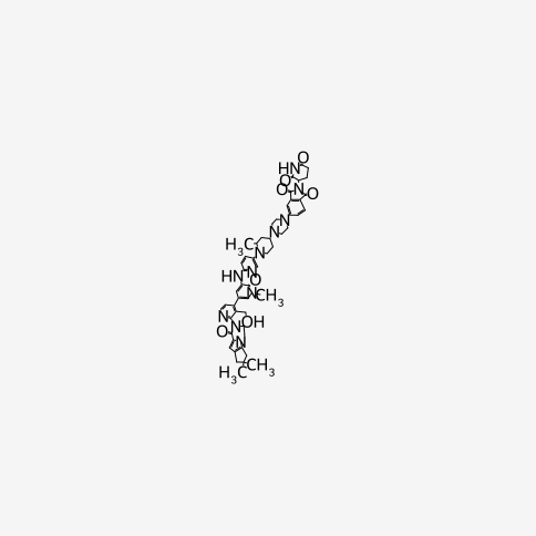 C[C@H]1CC(N2CCN(c3ccc4c(c3)C(=O)N(C3CCC(=O)NC3=O)C4=O)CC2)CCN1c1ccc(Nc2cc(-c3ccnc(N4CCn5c(cc6c5CC(C)(C)C6)C4=O)c3CO)cn(C)c2=O)nc1